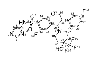 O=S(=O)(Nc1ncns1)c1cc2c(cc1F)C(N1CC[C@@](O)(C(F)(F)F)C[C@H]1c1ccc(F)cc1)CCO2